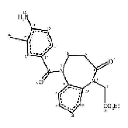 CCOC(=O)CN1C(=O)CCN(C(=O)c2ccc(N)c(C)c2)c2ccccc21